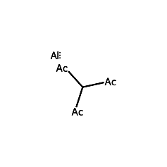 CC(=O)C(C(C)=O)C(C)=O.[Al]